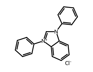 [Cl-].c1ccc(-n2c[n+](-c3ccccc3)c3ccccc32)cc1